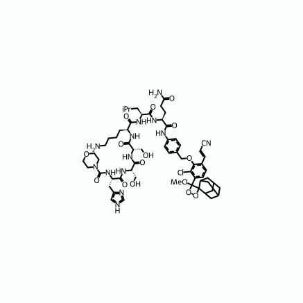 COC1(c2ccc(/C=C/C#N)c(OCc3ccc(NC(=O)[C@H](CCC(N)=O)NC(=O)[C@H](CC(C)C)NC(=O)[C@H](CCCCN)NC(=O)[C@H](CO)NC(=O)[C@H](CO)NC(=O)[C@H](Cc4c[nH]cn4)NC(=O)N4CCOCC4)cc3)c2Cl)OOC12C1CC3CC(C1)CC2C3